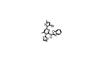 CC1=CC(c2nn(C)cc2Br)N=C(Nc2nc3ccccc3o2)N1c1nncs1